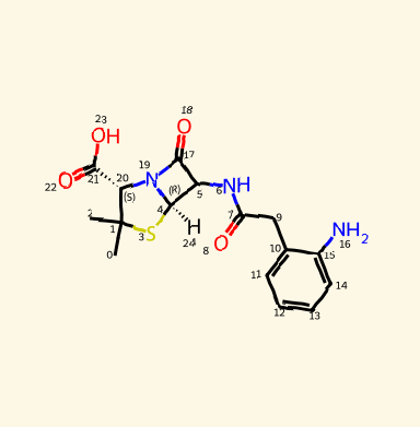 CC1(C)S[C@@H]2C(NC(=O)Cc3ccccc3N)C(=O)N2[C@H]1C(=O)O